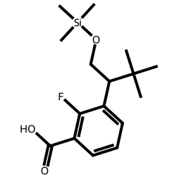 CC(C)(C)C(CO[Si](C)(C)C)c1cccc(C(=O)O)c1F